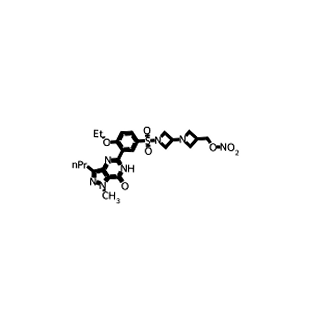 CCCc1nn(C)c2c(=O)[nH]c(-c3cc(S(=O)(=O)N4CC(N5CC(CO[N+](=O)[O-])C5)C4)ccc3OCC)nc12